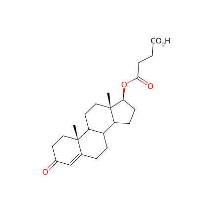 C[C@]12CCC(=O)C=C1CCC1C2CC[C@@]2(C)C1CC[C@@H]2OC(=O)CCC(=O)O